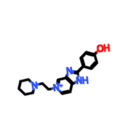 Oc1ccc(-c2nc3c[n+](CCN4CCCCC4)ccc3[nH]2)cc1